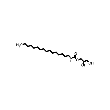 CCCCCCCCCCCCCCCCNC(=O)OCC(O)CO